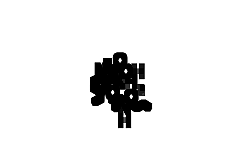 CCCC(=O)NC(C)(C)COc1c(CC)ccc2nc(C)c(C(=O)O)c(N)c12